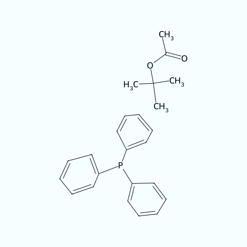 CC(=O)OC(C)(C)C.c1ccc(P(c2ccccc2)c2ccccc2)cc1